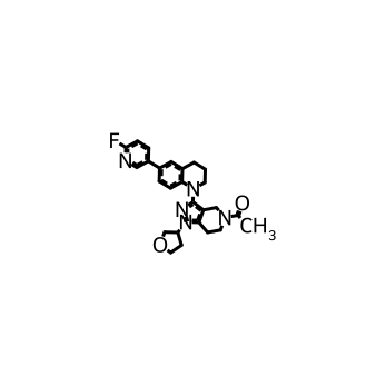 CC(=O)N1CCc2c(c(N3CCCc4cc(-c5ccc(F)nc5)ccc43)nn2C2CCOC2)C1